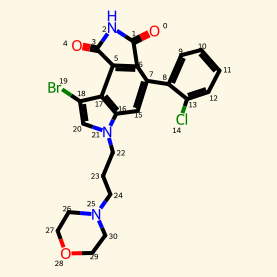 O=C1NC(=O)c2c1c(-c1ccccc1Cl)cc1c2c(Br)cn1CCCN1CCOCC1